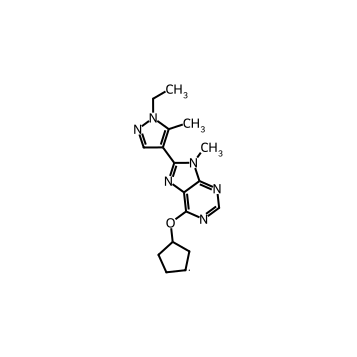 CCn1ncc(-c2nc3c(OC4C[CH]CC4)ncnc3n2C)c1C